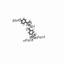 CCCCCN(CCCCC)S(=O)(=O)c1ccc(C(=O)Nc2nc(-c3ccc(OC)cc3)cs2)cc1